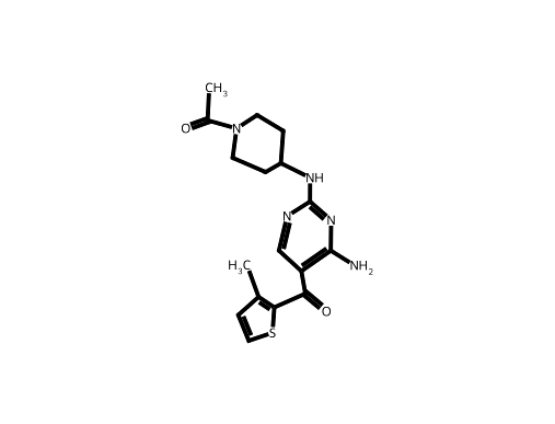 CC(=O)N1CCC(Nc2ncc(C(=O)c3sccc3C)c(N)n2)CC1